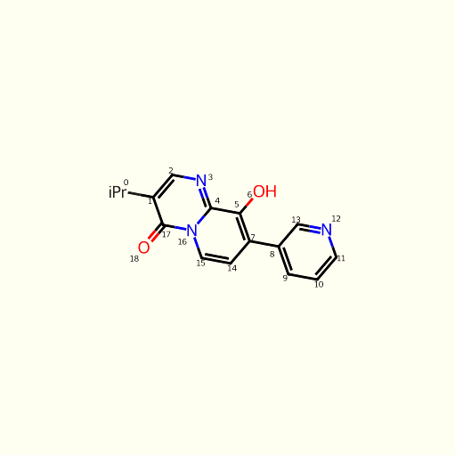 CC(C)c1cnc2c(O)c(-c3cccnc3)ccn2c1=O